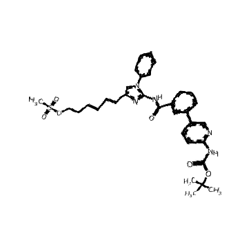 CC(C)(C)OC(=O)Nc1ccc(-c2cccc(C(=O)Nc3nc(CCCCCCOS(C)(=O)=O)cn3-c3ccccc3)c2)cn1